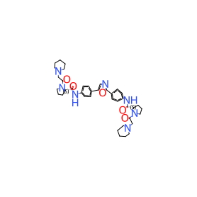 O=C(Nc1ccc(-c2cnc(-c3ccc(NC(=O)[C@@H]4CCCN4C(=O)CN4CCCCC4)cc3)o2)cc1)[C@@H]1CCCN1C(=O)CN1CCCCC1